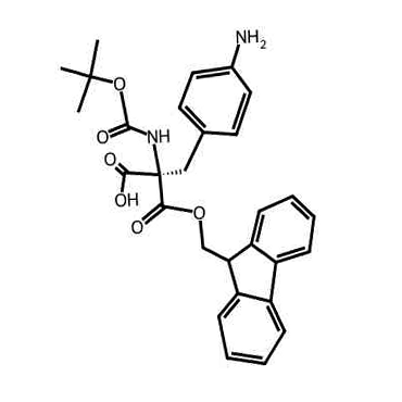 CC(C)(C)OC(=O)N[C@](Cc1ccc(N)cc1)(C(=O)O)C(=O)OCC1c2ccccc2-c2ccccc21